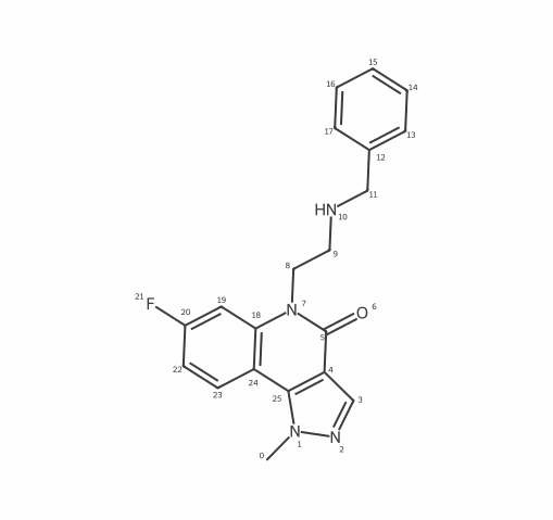 Cn1ncc2c(=O)n(CCNCc3ccccc3)c3cc(F)ccc3c21